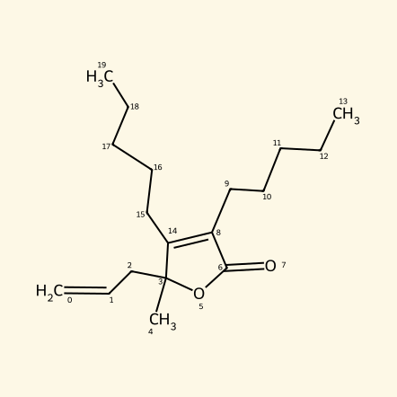 C=CCC1(C)OC(=O)C(CCCCC)=C1CCCCC